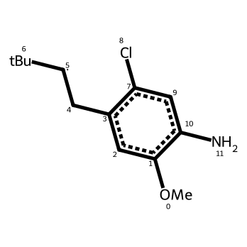 COc1cc(C[CH]C(C)(C)C)c(Cl)cc1N